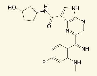 CNc1cc(F)ccc1C(=N)c1cnc2[nH]cc(C(=O)N[C@H]3CC[C@H](O)C3)c2n1